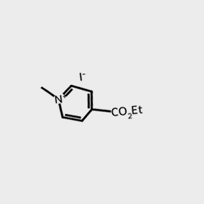 CCOC(=O)c1cc[n+](C)cc1.[I-]